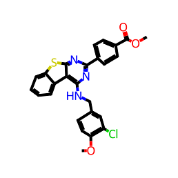 COC(=O)c1ccc(-c2nc(NCc3ccc(OC)c(Cl)c3)c3c(n2)sc2ccccc23)cc1